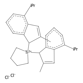 CC1=Cc2c(C(C)C)cccc2[CH]1[Ti+2]1([CH]2C(C)=Cc3c(C(C)C)cccc32)[CH2]CC[CH2]1.[Cl-].[Cl-]